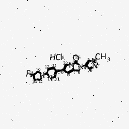 Cl.Cn1cc(N2Cc3cc(-c4ccc(N5CC[C@@H](F)C5)nc4)cn3C2=O)cn1